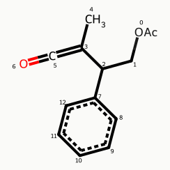 CC(=O)OCC(C(C)=C=O)c1ccccc1